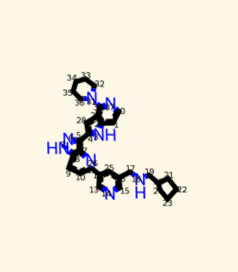 c1cc2[nH]c(-c3n[nH]c4ccc(-c5cncc(CNCC6CCCC6)c5)nc34)cc2c(N2CCCCC2)n1